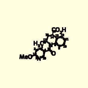 COc1ccc(C(=O)N2c3ccccc3[C@@H](C(=O)O)C[C@@H]2C)cn1